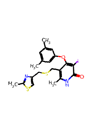 Cc1cc(C)cc(Oc2c(CSCc3csc(C)n3)c(C)[nH]c(=O)c2I)c1